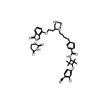 CC1(C)C(NC(=O)c2ccc(CCCCN3CCNCC3CCOc3cccc4c3CN([C@H]3CCC(=O)NC3=O)C4=O)cc2)C(C)(C)C1Oc1ccc(C#N)c(Cl)c1